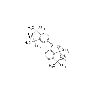 CC(C)(C)c1ccc(Oc2cccc(C(C)(C)C)c2C(C)(C)C)cc1C(C)(C)C